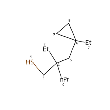 CCCC(CC)(CS)CC1(CC)CC1